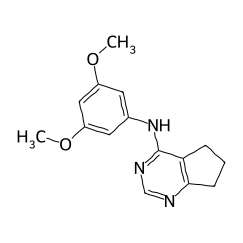 COc1cc(Nc2ncnc3c2CCC3)cc(OC)c1